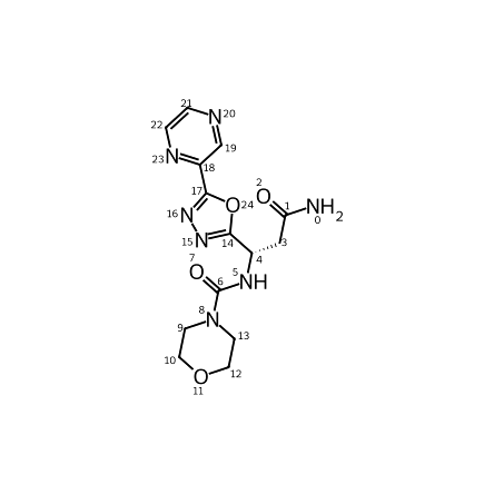 NC(=O)C[C@H](NC(=O)N1CCOCC1)c1nnc(-c2cnccn2)o1